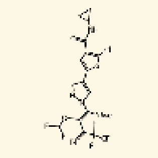 CN/C(=C(/OC(F)F)C(=N)C(F)(F)C(F)(F)F)n1cc(-c2cc(C(=O)NC3CC3)c(Cl)s2)cn1